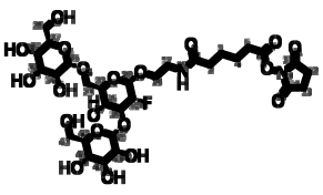 O=C(CCCCC(=O)ON1C(=O)CCC1=O)NCCO[C@@H]1O[C@H](CO[C@H]2O[C@H](CO)[C@@H](O)[C@H](O)[C@@H]2O)[C@@H](O)[C@H](O[C@H]2O[C@H](CO)[C@@H](O)[C@H](O)[C@@H]2O)[C@H]1F